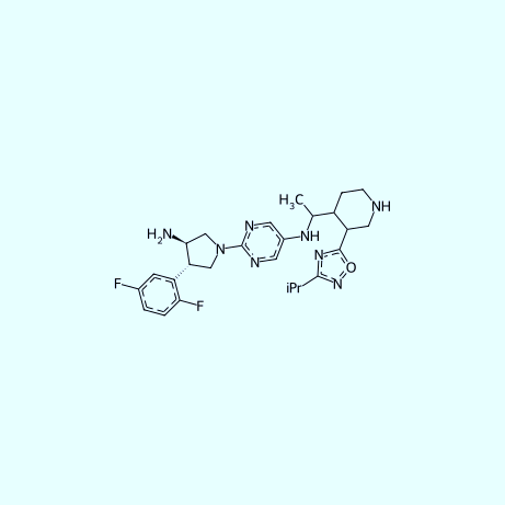 CC(C)c1noc(C2CNCCC2C(C)Nc2cnc(N3C[C@H](c4cc(F)ccc4F)[C@@H](N)C3)nc2)n1